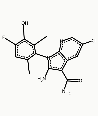 Cc1cc(F)c(O)c(C)c1-n1c(N)c(C(N)=O)c2cc(Cl)cnc21